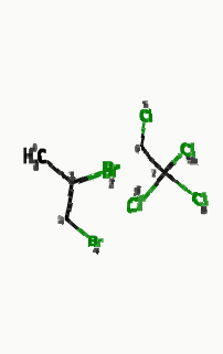 CC(Br)CBr.ClCC(Cl)(Cl)Cl